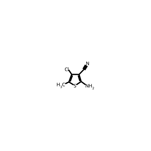 Cc1sc(N)c(C#N)c1Cl